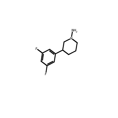 NN1CCCC(c2cc(F)cc(F)c2)C1